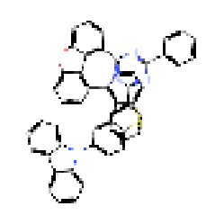 c1ccc(-c2nc(-c3ccccc3)nc(-c3cccc4oc5cccc(-c6cccc7sc8ccc(-n9c%10ccccc%10c%10ccccc%109)cc8c67)c5c34)n2)cc1